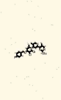 Cc1cnc(-c2nc(C(C)(C)C)ncc2C)cc1-n1c(C)cc(OCc2ccc(F)cc2)c(Cl)c1=O